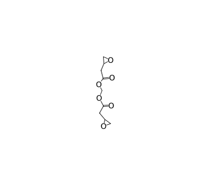 O=C(CC1CO1)OCOC(=O)CC1CO1